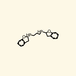 c1ccc2c(c1)CC(PCCCPC1Cc3ccccc3O1)O2